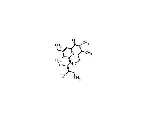 CCCC(C)N(C)C(=O)C1=N/C(=C/C(Br)=C(/C)CC)N(C)C(CC)=C1